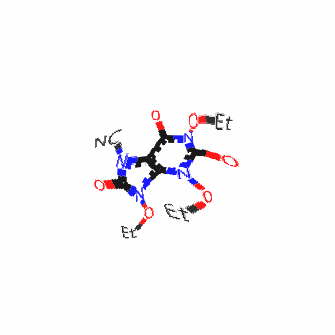 CCOn1c(=O)c2c(n(OCC)c1=O)n(OCC)c(=O)n2C#N